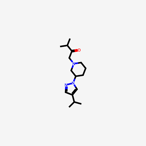 CC(C)C(=O)CN1CCCC(n2cc(C(C)C)cn2)C1